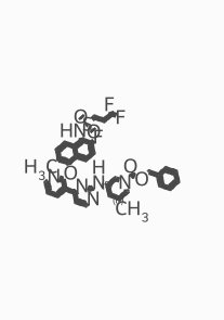 Cc1ccc2c(NS(=O)(=O)CCC(F)F)c(F)ccc2c1Oc1ncccc1-c1ccnc(N[C@H]2C[C@@H](C)CN(C(=O)OCc3ccccc3)C2)n1